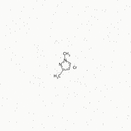 Cc1ccn(C)n1.[Cr]